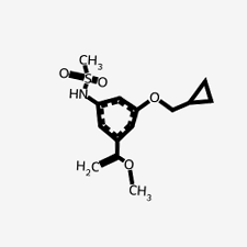 C=C(OC)c1cc(NS(C)(=O)=O)cc(OCC2CC2)c1